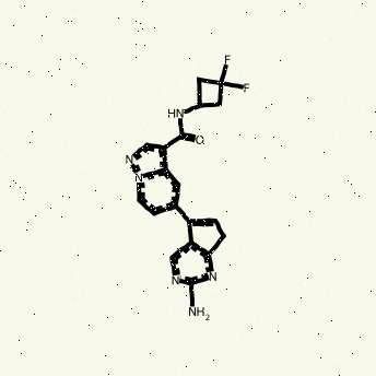 Nc1ncc2c(n1)CC=C2c1ccn2ncc(C(=O)NC3CC(F)(F)C3)c2c1